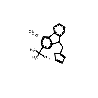 CC(C)(C)c1ccc2c(c1)C(CC1=CC=CC1)c1ccccc1-2.[Cl-].[Cl-].[Zr+2]